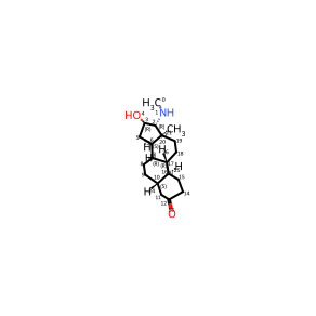 CN[C@H]1[C@H](O)C[C@H]2[C@@H]3CC[C@H]4CC(=O)CC[C@@H]4[C@H]3CC[C@@]21C